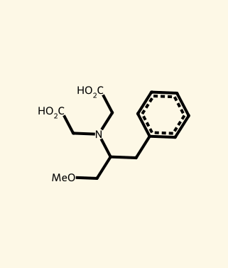 COCC(Cc1ccccc1)N(CC(=O)O)CC(=O)O